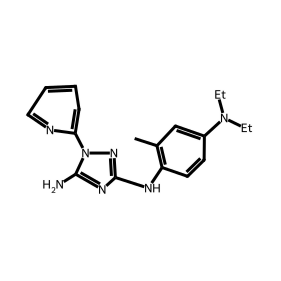 CCN(CC)c1ccc(Nc2nc(N)n(-c3ccccn3)n2)c(C)c1